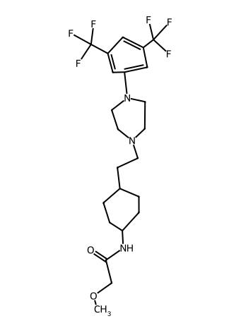 COCC(=O)NC1CCC(CCN2CCN(c3cc(C(F)(F)F)cc(C(F)(F)F)c3)CC2)CC1